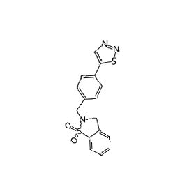 O=S1(=O)c2ccccc2CN1Cc1ccc(-c2cnns2)cc1